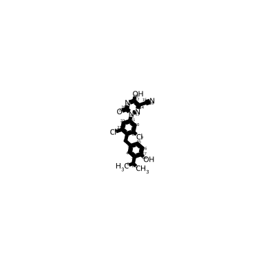 CC(C)c1cc(Cc2c(Cl)cc(-n3nc(C#N)c(O)nc3=O)cc2Cl)ccc1O